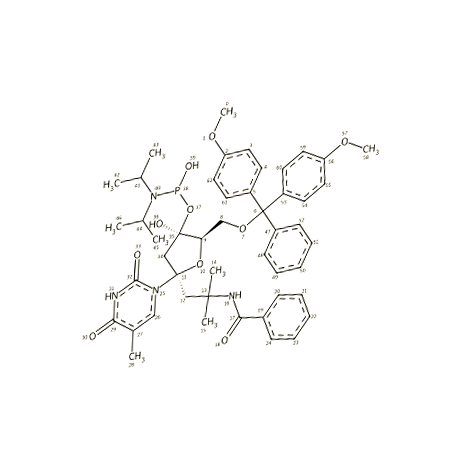 COc1ccc(C(OC[C@H]2O[C@@](CC(C)(C)NC(=O)c3ccccc3)(n3cc(C)c(=O)[nH]c3=O)C[C@@]2(O)OP(O)N(C(C)C)C(C)C)(c2ccccc2)c2ccc(OC)cc2)cc1